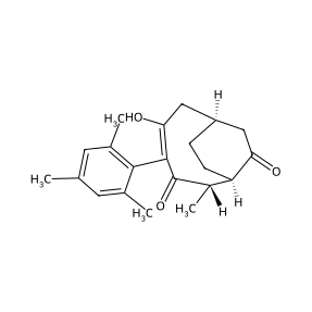 Cc1cc(C)c(/C2=C(\O)C[C@@H]3CC[C@@H](C(=O)C3)[C@H](C)C2=O)c(C)c1